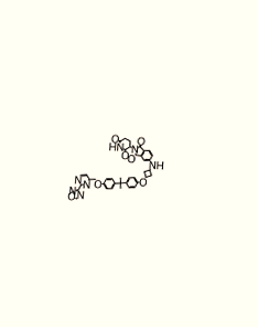 CC(C)(c1ccc(OCc2ccnc(-c3ncon3)n2)cc1)c1ccc(O[C@H]2C[C@H](Nc3ccc4c(c3)C(=O)N(C3CCC(=O)NC3=O)C4=O)C2)cc1